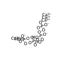 O=P([O-])([O-])O.O=P([O-])([O-])[O-].O=P([O-])([O-])[O-].O=P([O-])([O-])[O-].[Ca+2].[Ca+2].[Ca+2].[Ca+2].[Ca+2].[Ca+2].[OH-]